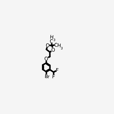 CC1(C)OCC(COc2ccc(Br)c(C(F)F)c2)O1